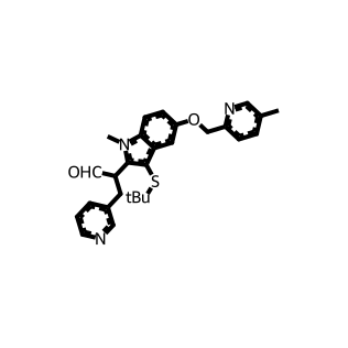 Cc1ccc(COc2ccc3c(c2)c(SC(C)(C)C)c(C(C=O)Cc2cccnc2)n3C)nc1